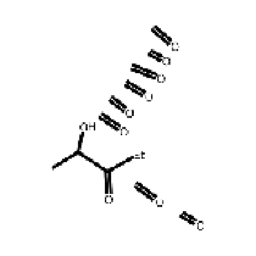 C=O.C=O.C=O.C=O.C=O.C=O.C=O.C=O.CCC(=O)C(C)O